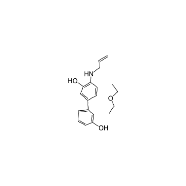 C=CCNc1ccc(-c2cccc(O)c2)cc1O.CCOCC